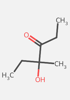 CCC(=O)C(C)(O)CC